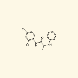 CC(Nc1ccccc1)C(=O)Nc1ccc(Cl)nc1Cl